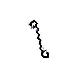 C(=C\c1ccccn1)/CCCC/C=C/c1ccccn1